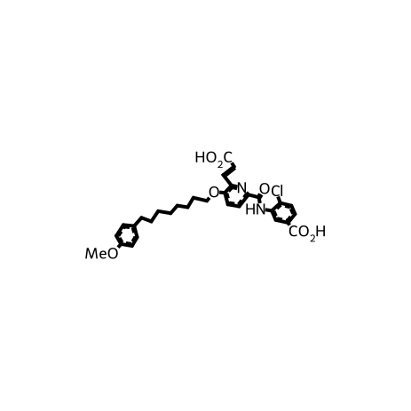 COc1ccc(CCCCCCCCOc2ccc(C(=O)Nc3cc(C(=O)O)ccc3Cl)nc2C=CC(=O)O)cc1